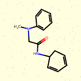 CN(CC(=O)NC1C=CC=CC1)c1ccccc1